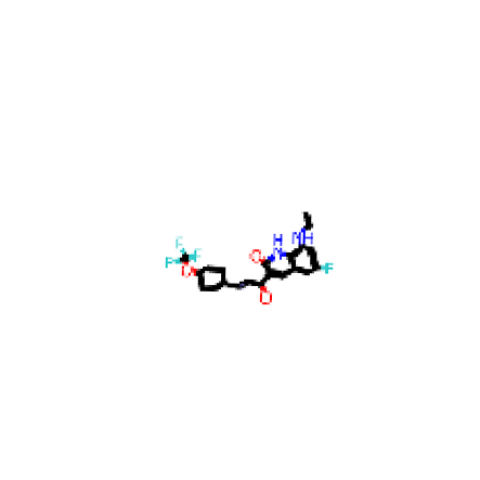 CCNc1cc(F)cc2cc(C(=O)/C=C/c3ccc(OC(F)(F)F)cc3)c(=O)[nH]c12